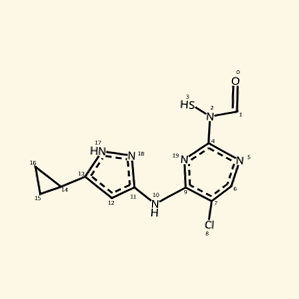 O=CN(S)c1ncc(Cl)c(Nc2cc(C3CC3)[nH]n2)n1